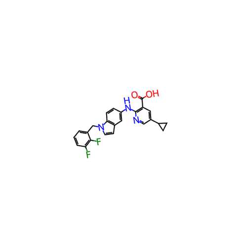 O=C(O)c1cc(C2CC2)cnc1Nc1ccc2c(ccn2Cc2cccc(F)c2F)c1